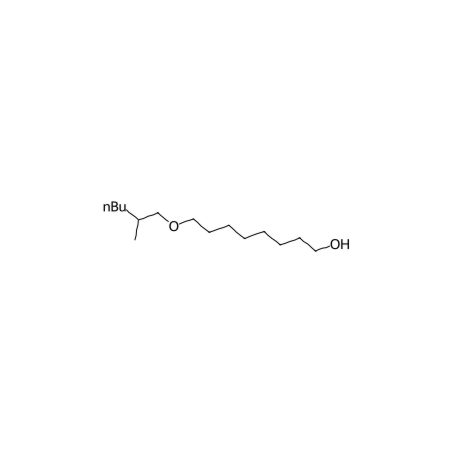 CCCCC(C)COCCCCCCCCO